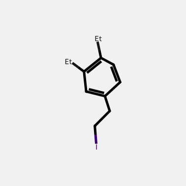 CCc1ccc(CCI)cc1CC